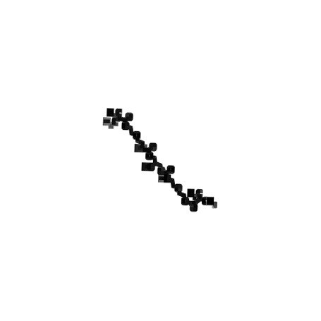 C=C(C)C(=O)OCCOCCNC(=O)OCC(O)COC(=O)NCCOCCOC1OC1C(=C)C